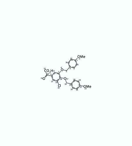 COc1ccc(COc2cc(C(=O)C(=O)O)cc(Cl)c2OCc2ccc(OC)cc2)cc1